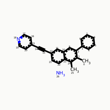 Cc1c(-c2ccccc2)cc2cc(C#Cc3ccncc3)ccc2c1C.N